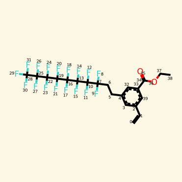 C=Cc1cc(CCC(F)(F)C(F)(F)C(F)(F)C(F)(F)C(F)(F)C(F)(F)C(F)(F)C(F)(F)F)cc(C(=O)OCC)c1